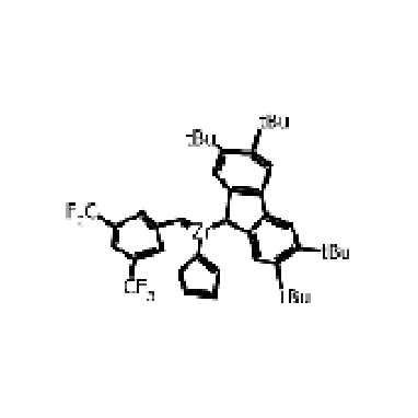 CC(C)(C)c1cc2c(cc1C(C)(C)C)[CH]([Zr](=[CH]c1cc(C(F)(F)F)cc(C(F)(F)F)c1)[C]1=CC=CC1)c1cc(C(C)(C)C)c(C(C)(C)C)cc1-2